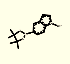 CCCn1ccc2cc(B3OC(C)(C)C(C)(C)O3)ccc21